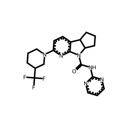 O=C(Nc1ncccn1)N1c2nc(N3CCCC(C(F)(F)F)C3)ccc2C2CCCC21